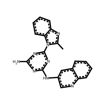 Cc1nc2ccccc2n1-c1nc(N)nc(Nc2cnc3ccccc3c2)n1